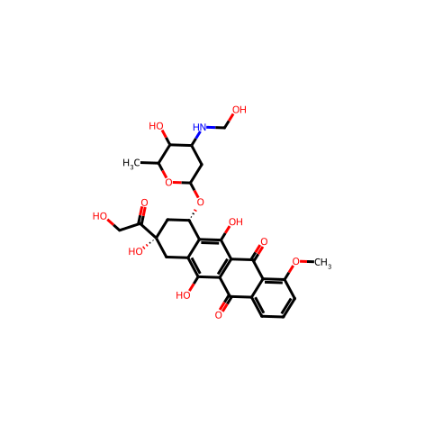 COc1cccc2c1C(=O)c1c(O)c3c(c(O)c1C2=O)C[C@@](O)(C(=O)CO)C[C@@H]3OC1CC(NCO)C(O)C(C)O1